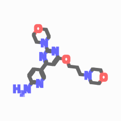 Nc1ccc(-c2cc(OCCCN3CCOCC3)nc(N3CCOCC3)n2)cn1